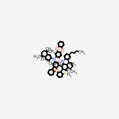 CCCCc1ccc2c(c1)C1(C)C=CC(C)C3=C1C1(C)C(=C4c5ccccc5SC43C)c3c4c(cc5c3oc3ccccc35)N(c3cc5c(cc3C)C(C)(C)CCC5(C)C)c3cc5c(cc3B4N21)Oc1ccccc1O5